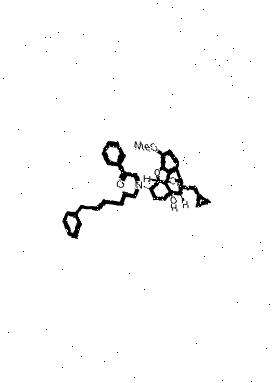 COc1ccc2c3c1O[C@H]1[C@@H](N(CCCCCCc4ccccc4)CC(=O)c4ccccc4)CC[C@@]4(O)[C@@H](C2)N(CC2CC2)CC[C@]314